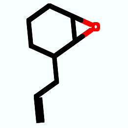 C=CCC1CCCC2OC12